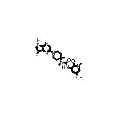 CN(C(=O)Nc1cc(C(F)(F)F)cn(C)c1=O)C1(C)CCN(c2cnc3[nH]cc(F)c3n2)CC1